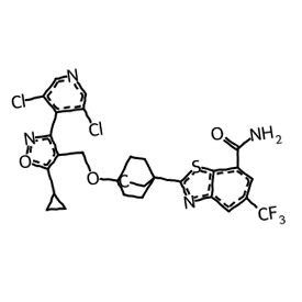 NC(=O)c1cc(C(F)(F)F)cc2nc(C34CCC(OCc5c(-c6c(Cl)cncc6Cl)noc5C5CC5)(CC3)CC4)sc12